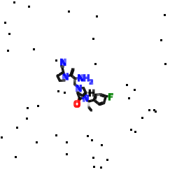 C=C(C(N)CN1C[C@@H]2CC1C(=O)N2[C@@H](CC)c1ccc(F)cc1)N1CCCC1C#N